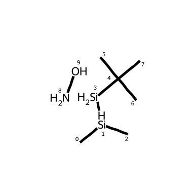 C[SiH](C)[SiH2]C(C)(C)C.NO